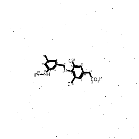 Cc1cc(COc2c(Cl)cc(CC(=O)O)cc2Cl)cc(NC(C)C)c1